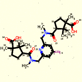 CN(Cc1cc([131I])cc(CN(C)C(=O)C2CCC(C)(C(=O)O)C2(C)C)n1)C(=O)C1CCC(C)(C(=O)O)C1(C)C